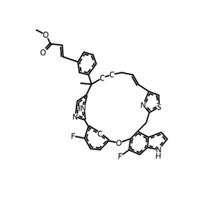 COC(=O)/C=C/c1cccc(C2(C)CCC/C=C/c3csc(n3)Cc3c(c(F)cc4[nH]ccc34)Oc3ccc(F)c(c3)-c3ncc2[nH]3)c1